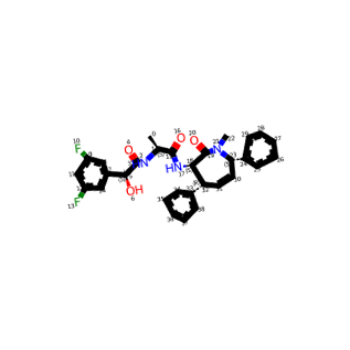 C[C@H](NC(=O)[C@@H](O)c1cc(F)cc(F)c1)C(=O)N[C@@H]1C(=O)N(C)[C@H](c2ccccc2)C=C[C@@H]1c1ccccc1